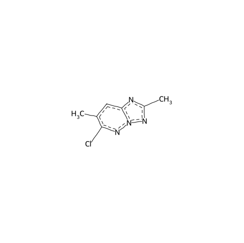 Cc1nc2cc(C)c(Cl)nn2n1